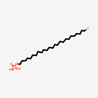 O=P(O)(O)OCCCCCCCCCCCCCCCCCCCCCCCCCCl